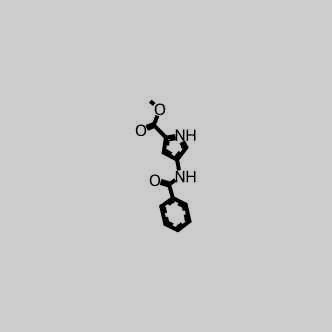 COC(=O)c1cc(NC(=O)c2ccccc2)c[nH]1